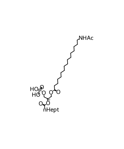 CCCCCCCC(=O)O[C@H](COC(=O)CCCCCCCCCCCCCCCNC(C)=O)COP(=O)(O)O